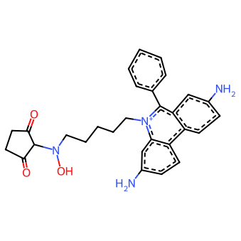 Nc1ccc2c(c1)c(-c1ccccc1)[n+](CCCCCN(O)C1C(=O)CCC1=O)c1cc(N)ccc21